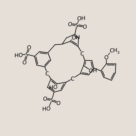 COc1ccccc1-c1cc2c(O)c(c1)Cc1cc(S(=O)(=O)O)cc(c1O)Cc1cc(cc(S(=O)(=O)O)c1)CC1CC(S(=O)(=O)O)=CC(=C1O)C2